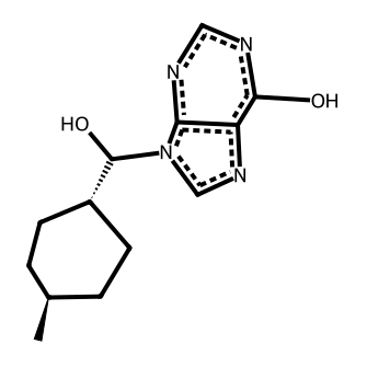 C[C@H]1CC[C@H](C(O)n2cnc3c(O)ncnc32)CC1